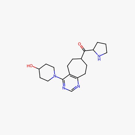 O=C(C1CCc2ncnc(N3CCC(O)CC3)c2CC1)C1CCCN1